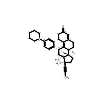 CC#C[C@]1(N)CC[C@H]2[C@@H]3CCC4=CC(=O)CCC4=C3[C@@H](c3ccc(N4CCCCC4)cc3)C[C@@]21C